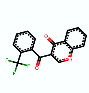 O=C(c1ccccc1C(F)(F)F)c1coc2ccccc2c1=O